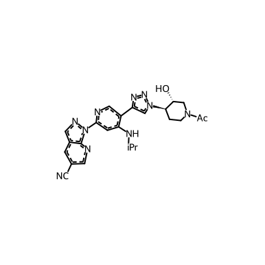 CC(=O)N1CC[C@@H](n2cc(-c3cnc(-n4ncc5cc(C#N)cnc54)cc3NC(C)C)nn2)[C@H](O)C1